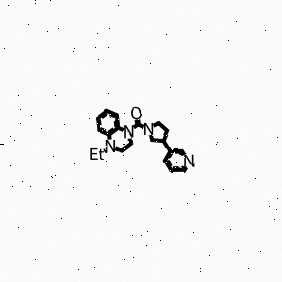 CCN1CCN(C(=O)N2CCC(c3cccnc3)C2)c2ccccc21